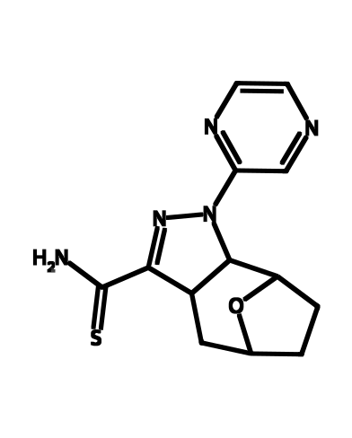 NC(=S)C1=NN(c2cnccn2)C2C3CCC(CC12)O3